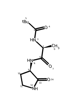 C[C@H](NC(=O)C(C)(C)C)C(=O)N[C@@H]1CCNC1=O